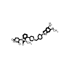 COc1cc2nn(C3CCC(CN4CCC(c5cccc6c5n(C)c(=O)n6C5CCC(=O)NC5=O)CC4)CC3)cc2cc1N